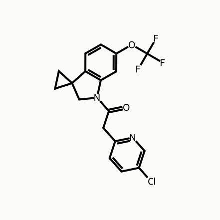 O=C(Cc1ccc(Cl)cn1)N1CC2(CC2)c2ccc(OC(F)(F)F)cc21